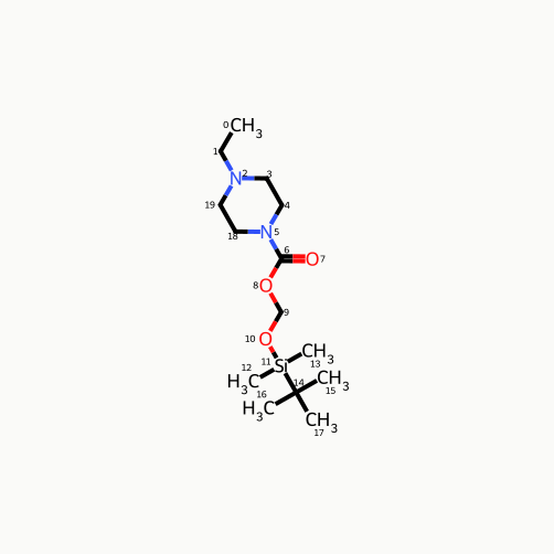 CCN1CCN(C(=O)OCO[Si](C)(C)C(C)(C)C)CC1